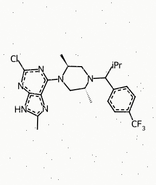 Cc1nc2c(N3C[C@@H](C)N(C(c4ccc(C(F)(F)F)cc4)C(C)C)C[C@@H]3C)nc(Cl)nc2[nH]1